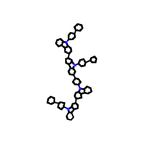 C1=Cc2c(c3ccc(-c4ccc5c(c4)c4ccccc4n5-c4ccc(-c5ccc6c7ccc(-c8ccc9c(c8)c8ccccc8n9-c8ccc(-c9ccccc9)cc8)cc7n(-c7ccc(-c8ccccc8)cc7)c6c5)cc4)cc3n2-c2ccc(-c3ccccc3)cc2)CC1